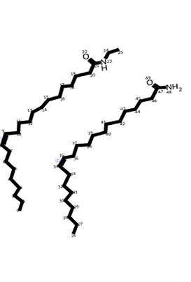 CCCCCCCC/C=C\CCCCCCCCCCCC(=O)NCC.CCCCCCCC/C=C\CCCCCCCCCCCC(N)=O